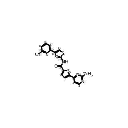 Nc1nccc(-c2ccc(C(=O)Nc3nc(-c4cccc(Cl)c4)cs3)s2)n1